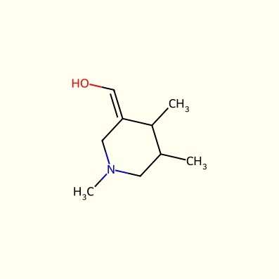 CC1CN(C)C/C(=C\O)C1C